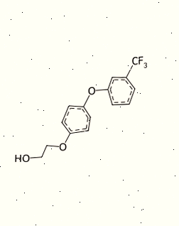 OCCOc1ccc(Oc2cccc(C(F)(F)F)c2)cc1